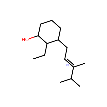 CCC1C(O)CCCC1C/C=C(\C)C(C)C